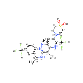 C=C(/C(=N\c1c(C)nnc(N[C@H](C)c2cccc(C(F)(F)F)c2)c1C)C(F)(F)F)N1CCS(=O)(=O)CC1